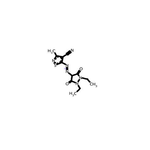 CCN1C(=O)C(/N=N/c2snc(C)c2C#N)C(=O)N1CC